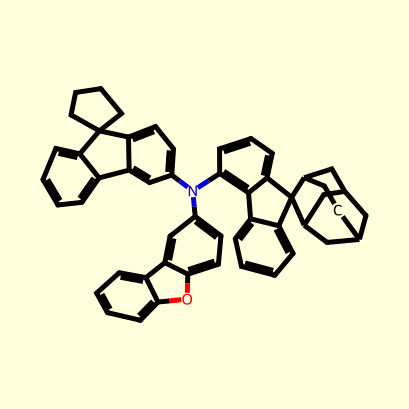 c1ccc2c(c1)-c1cc(N(c3ccc4oc5ccccc5c4c3)c3cccc4c3-c3ccccc3C43C4CCC5CC(C4)CC3C5)ccc1C21CCCC1